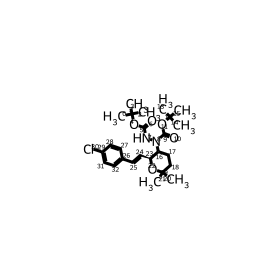 CC(C)(C)OC(=O)NN(C(=O)OC(C)(C)C)C1CCC(C)(C)O[C@H]1C=Cc1ccc(Cl)cc1